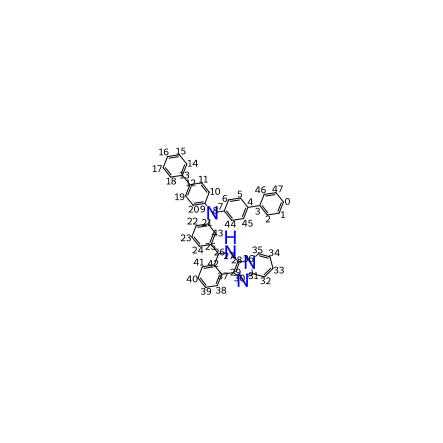 c1ccc(-c2ccc(N(c3ccc(-c4ccccc4)cc3)c3cccc(C4Nc5c(nc6ccccn56)-c5ccccc54)c3)cc2)cc1